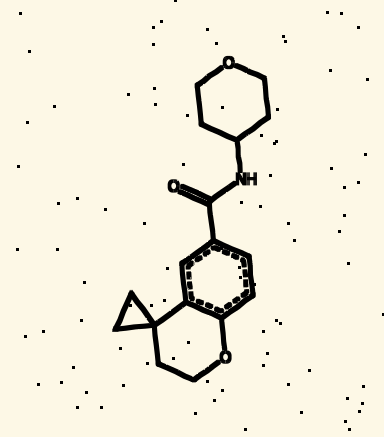 O=C(NC1CCOCC1)c1ccc2c(c1)C1(CCO2)CC1